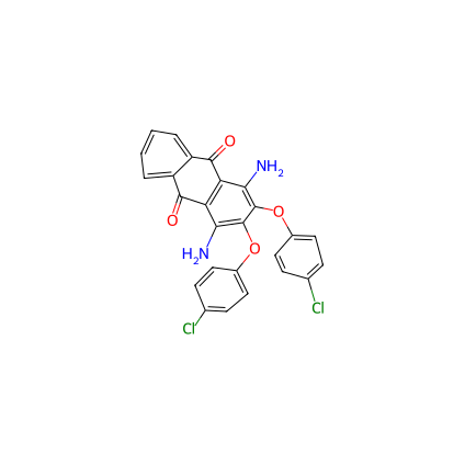 Nc1c(Oc2ccc(Cl)cc2)c(Oc2ccc(Cl)cc2)c(N)c2c1C(=O)c1ccccc1C2=O